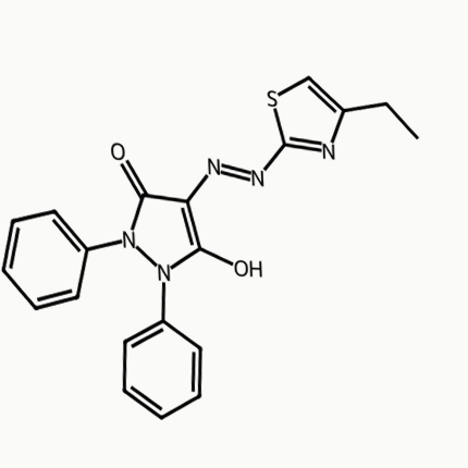 CCc1csc(N=Nc2c(O)n(-c3ccccc3)n(-c3ccccc3)c2=O)n1